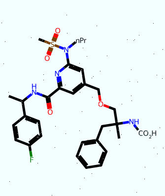 CCCN(c1cc(COCC(C)(Cc2ccccc2)NC(=O)O)cc(C(=O)NC(C)c2ccc(F)cc2)n1)S(C)(=O)=O